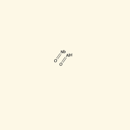 [O]=[AlH].[O]=[Nb]